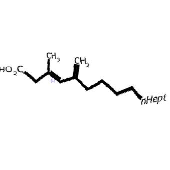 C=C(/C=C(\C)CC(=O)O)CCCCCCCCCCC